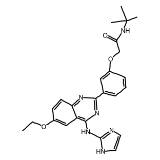 CCOc1ccc2nc(-c3cccc(OCC(=O)NC(C)(C)C)c3)nc(Nc3ncc[nH]3)c2c1